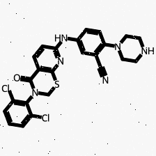 N#Cc1cc(Nc2ccc3c(n2)SCN(c2c(Cl)cccc2Cl)C3=O)ccc1N1CCNCC1